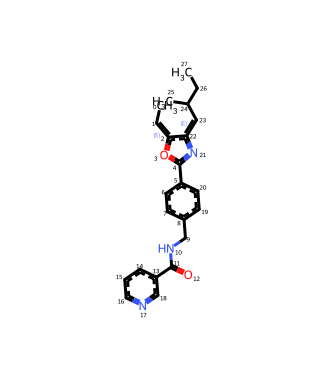 C/C=c1/oc(-c2ccc(CNC(=O)c3cccnc3)cc2)n/c1=C/C(C)CC